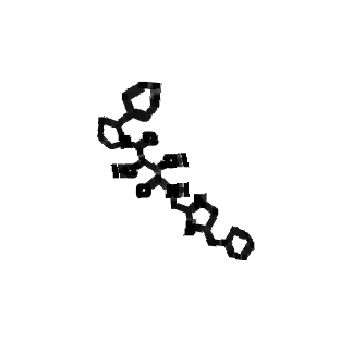 O=C(NCC1=NCC(Cc2ccccc2)S1)[C@H](O)[C@@H](O)C(=O)N1CCCC1c1ccccc1